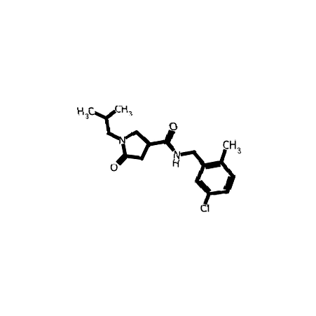 Cc1ccc(Cl)cc1CNC(=O)C1CC(=O)N(CC(C)C)C1